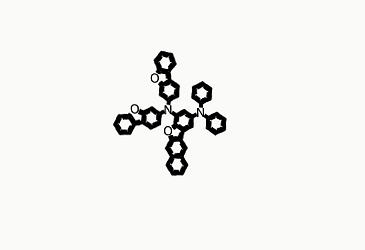 c1ccc(N(c2ccccc2)c2cc(N(c3ccc4c(c3)oc3ccccc34)c3ccc4c(c3)oc3ccccc34)c3oc4cc5ccccc5cc4c3c2)cc1